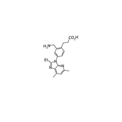 CCc1nc2c(C)cc(C)nc2n1-c1ccc(CCC(=O)O)c(CN)c1